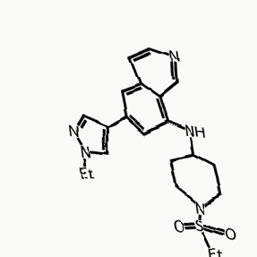 CCn1cc(-c2cc(NC3CCN(S(=O)(=O)CC)CC3)c3cnccc3c2)cn1